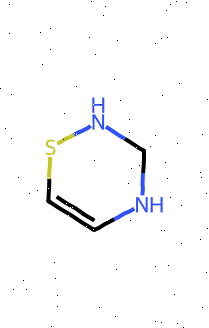 C1=CSNCN1